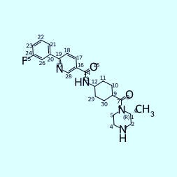 C[C@@H]1CNCCN1C(=O)C1CCC(NC(=O)c2ccc(-c3cccc(F)c3)nc2)CC1